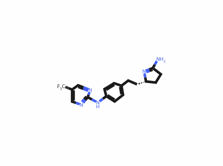 NC1=N[C@@H](CCc2ccc(Nc3ncc(C(F)(F)F)cn3)cc2)CC1